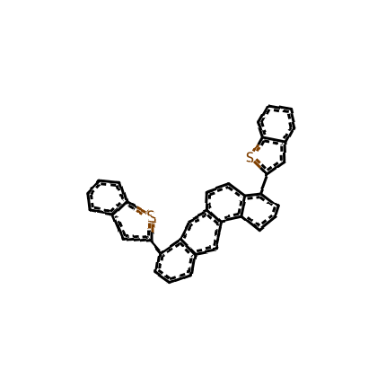 c1ccc2sc(-c3cccc4cc5c(ccc6c(-c7cc8ccccc8s7)cccc65)cc34)cc2c1